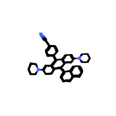 N#Cc1ccc(-c2c3cc(N4CCCCC4)ccc3c(-c3cccc4ccccc34)c3cc(N4CCCCC4)ccc23)cc1